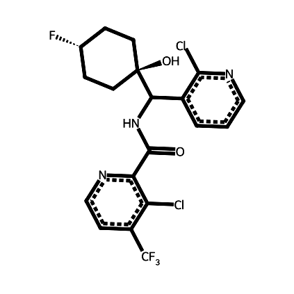 O=C(NC(c1cccnc1Cl)[C@]1(O)CC[C@H](F)CC1)c1nccc(C(F)(F)F)c1Cl